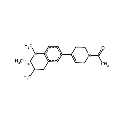 CC(=O)N1CC=C(c2ccc3c(c2)CC(C)[C@H](C)N3C)CC1